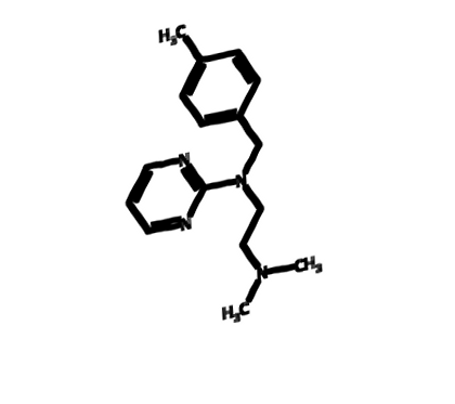 Cc1ccc(CN(CCN(C)C)c2ncccn2)cc1